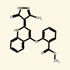 COC(=O)c1ccccc1SC1=CC(=C2C(=O)NN=C2C)Nc2ccccc21